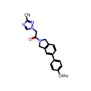 COc1ccc(-c2ccc3c(c2)CN(C(=O)Cn2cnc(C#N)n2)C3)cc1